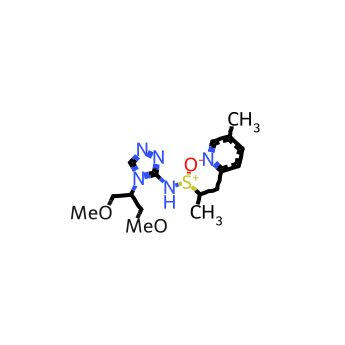 COCC(COC)n1cnnc1N[S+]([O-])C(C)Cc1ccc(C)cn1